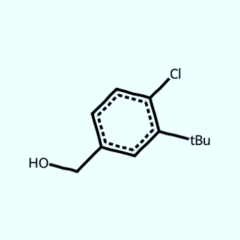 CC(C)(C)c1cc(CO)ccc1Cl